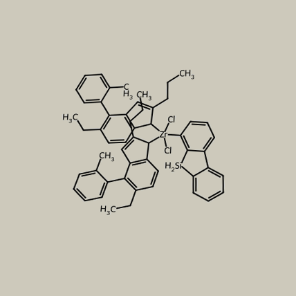 CCCC1=Cc2c(ccc(CC)c2-c2ccccc2C)[CH]1[Zr]([Cl])([Cl])([c]1cccc2c1[SiH2]c1ccccc1-2)[CH]1C(CCC)=Cc2c1ccc(CC)c2-c1ccccc1C